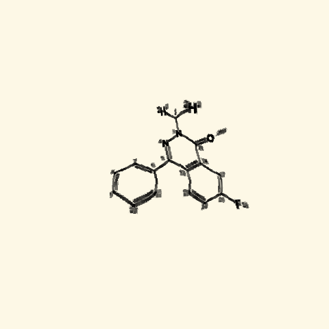 [2H]C([2H])n1nc(-c2ccccc2)c2ccc(F)cc2c1=O